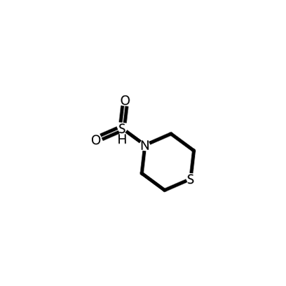 O=[SH](=O)N1CCSCC1